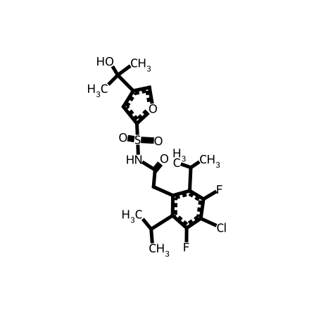 CC(C)c1c(F)c(Cl)c(F)c(C(C)C)c1CC(=O)NS(=O)(=O)c1cc(C(C)(C)O)co1